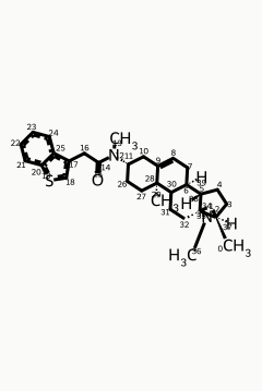 C[C@H]1[C@H]2CC[C@H]3[C@@H]4CC=C5C[C@@H](N(C)C(=O)Cc6csc7ccccc67)CC[C@]5(C)C4CC[C@]23CN1C